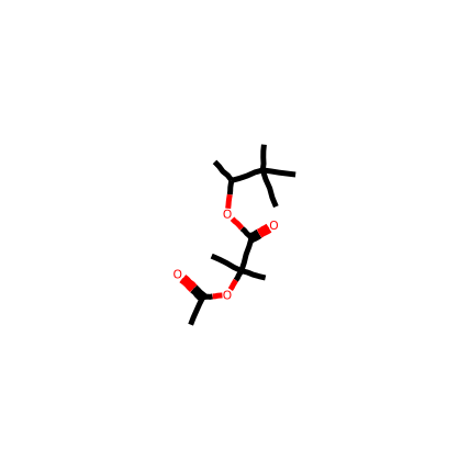 CC(=O)OC(C)(C)C(=O)OC(C)C(C)(C)C